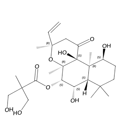 C=C[C@@]1(C)CC(=O)[C@]2(O)[C@@]3(C)[C@@H](O)CCC(C)(C)[C@@H]3[C@H](O)[C@H](OC(=O)C(C)(CO)CO)[C@@]2(C)O1